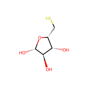 O[C@@H]1[C@@H](O)[C@@H](CS)O[C@H]1O